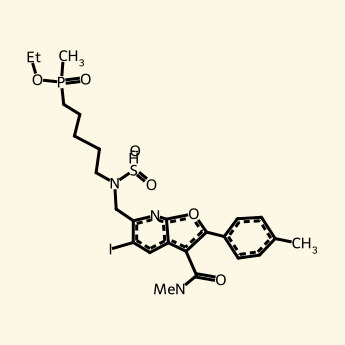 CCOP(C)(=O)CCCCCN(Cc1nc2oc(-c3ccc(C)cc3)c(C(=O)NC)c2cc1I)[SH](=O)=O